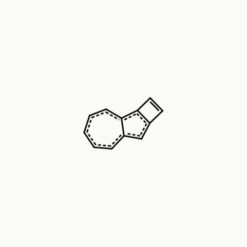 C1=Cc2c1cc1cccccc2-1